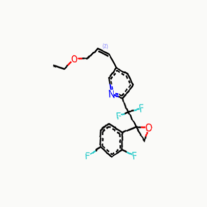 CCOC/C=C\c1ccc(C(F)(F)C2(c3ccc(F)cc3F)CO2)nc1